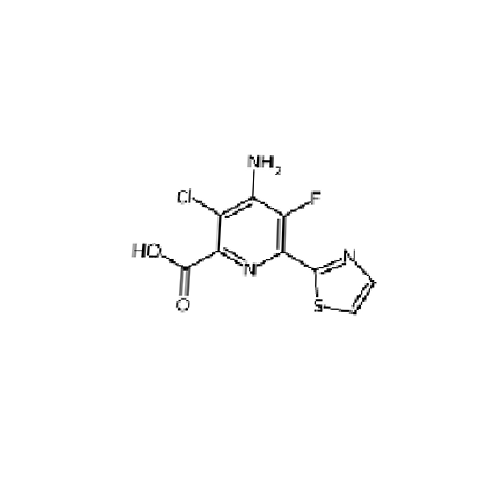 Nc1c(F)c(-c2nccs2)nc(C(=O)O)c1Cl